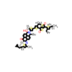 CCCCCCCCC(C)Cc1cc(-c2cc(N3C(O)c4ccc5c6c(ccc(c46)C3C(C)CC)/C(=N/c3sc([C@](C)(CC)CC4CC4)cc3C)C(CC)C5=O)c(C)s2)sc1C1=C2SC(=O)C(c3sc(C(C)(CC)CCC)cc3CC(C)C)=C2SC1=O